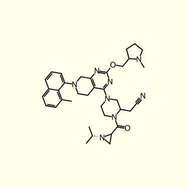 Cc1cccc2cccc(N3CCc4c(nc(OCC5CCCN5C)nc4N4CCN(C(=O)C5C[N@]5C(C)C)C(CC#N)C4)C3)c12